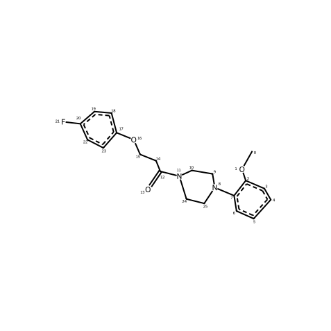 COc1ccccc1N1CCN(C(=O)CCOc2ccc(F)cc2)CC1